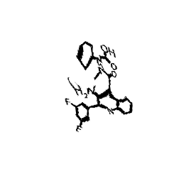 CN(C(=O)c1c(N)c(-c2cc(F)cc(F)c2)nc2ccccc12)N(C(=O)O)c1ccccc1